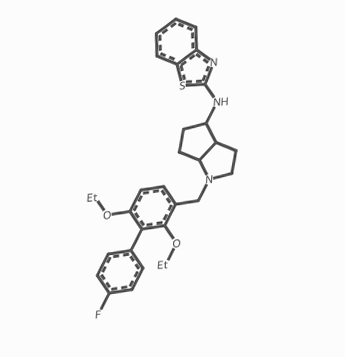 CCOc1ccc(CN2CCC3C(Nc4nc5ccccc5s4)CCC32)c(OCC)c1-c1ccc(F)cc1